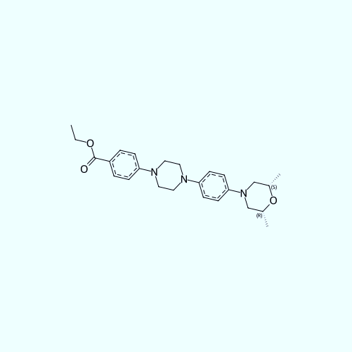 CCOC(=O)c1ccc(N2CCN(c3ccc(N4C[C@@H](C)O[C@@H](C)C4)cc3)CC2)cc1